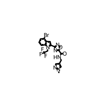 Cn1cc(CNC(=O)c2nc(-c3cc4c(Br)cccc4n3CC(F)(F)F)no2)cn1